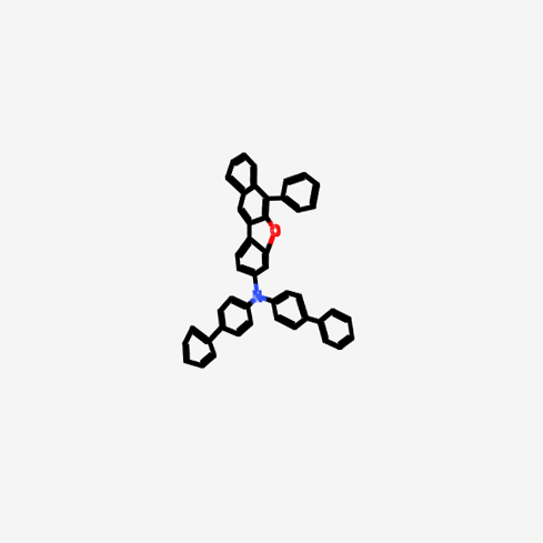 c1ccc(-c2ccc(N(c3ccc(-c4ccccc4)cc3)c3ccc4c(c3)oc3c(-c5ccccc5)c5ccccc5cc34)cc2)cc1